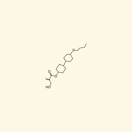 C=C(CO)C(=O)OC1CCC(C2CCC(OCCCC)CC2)CC1